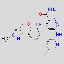 Cn1cc2c(n1)-c1cccc(Nc3cc(Nc4ccc(F)cn4)nnc3C(N)=O)c1OC2